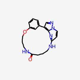 O=C1CCCNc2ccn3ncc(c3n2)-c2cccc(c2)OCCCN1